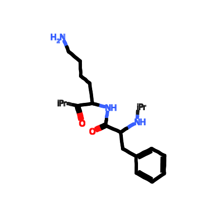 CC(C)NC(Cc1ccccc1)C(=O)NC(CCCCN)C(=O)C(C)C